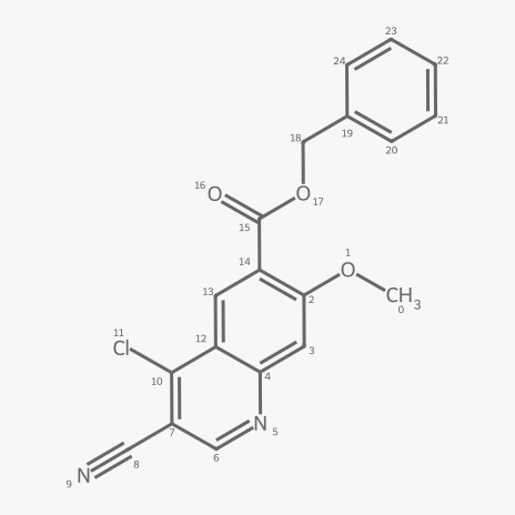 COc1cc2ncc(C#N)c(Cl)c2cc1C(=O)OCc1ccccc1